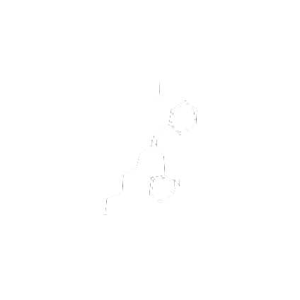 COc1ccccc1CN(CCCCCBr)Cc1ccccn1